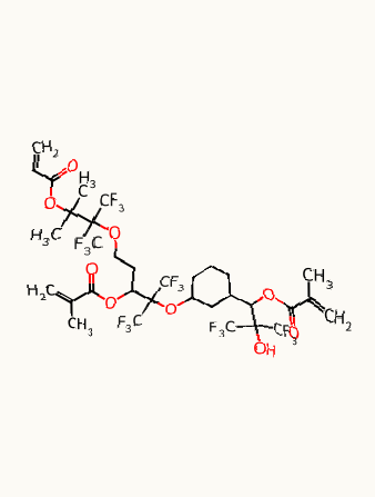 C=CC(=O)OC(C)(C)C(OCCC(OC(=O)C(=C)C)C(OC1CCCC(C(OC(=O)C(=C)C)C(O)(C(F)(F)F)C(F)(F)F)C1)(C(F)(F)F)C(F)(F)F)(C(F)(F)F)C(F)(F)F